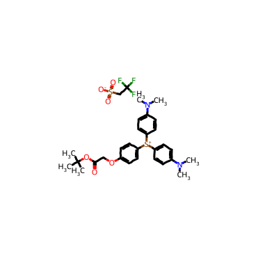 CN(C)c1ccc([S+](c2ccc(OCC(=O)OC(C)(C)C)cc2)c2ccc(N(C)C)cc2)cc1.O=S(=O)([O-])CC(F)(F)F